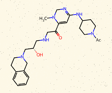 CC(=O)N1CCC(NC2=NCN(C)C(C(=O)CNC[C@H](O)CN3CCc4ccccc4C3)=C2)CC1